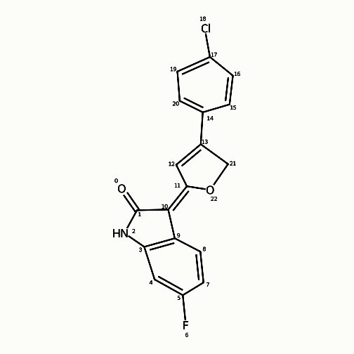 O=C1Nc2cc(F)ccc2C1=C1C=C(c2ccc(Cl)cc2)CO1